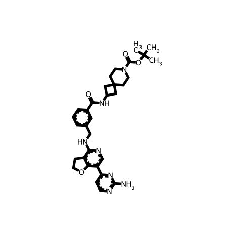 CC(C)(C)OC(=O)N1CCC2(CC1)CC(NC(=O)c1cccc(CNc3ncc(-c4ccnc(N)n4)c4c3CCO4)c1)C2